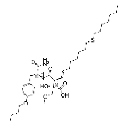 CCCCCCCSCCCCCCC=C[C@H](C(=O)N[C@@H](Cc1ccc(OCCCC)cc1)C(N)=O)[C@@](O)(COC)C(=O)O